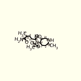 C[C@@H]1CC[C@H](N(C(=O)[CH]C[C@H](C)C(N)=O)S(C)(=O)=O)[C@@H](O)CN1